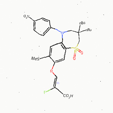 CCCCC1(CCCC)CN(c2ccc([N+](=O)[O-])cc2)c2cc(SC)c(O/C=C(\F)C(=O)O)cc2S(=O)(=O)C1